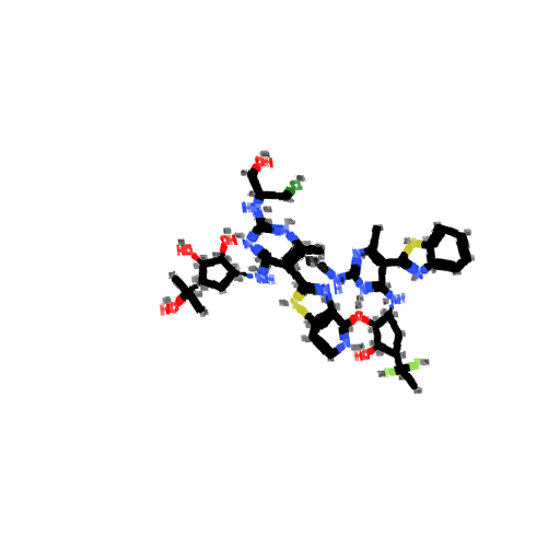 CCNc1nc(C)c(-c2nc3ccccc3s2)c(N[C@@H]2CC(C(C)(F)F)[C@@H](O)[C@H]2Oc2nccc3sc(-c4c(C)nc(NC(CO)CCl)nc4N[C@@H]4C[C@H](C(C)(C)O)[C@@H](O)[C@H]4O)nc23)n1